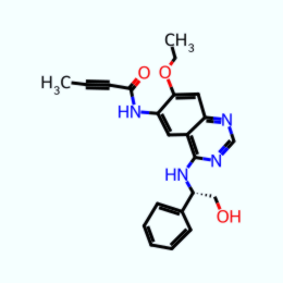 CC#CC(=O)Nc1cc2c(N[C@H](CO)c3ccccc3)ncnc2cc1OCC